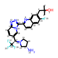 CC(C)(O)Cc1cc2nc(-c3nnc4ccc([C@@H](N5CC[C@H](N)C5)C(F)(F)F)cn34)ccc2cc1F